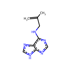 C=C(C)CNc1ncnc2[nH]cnc12